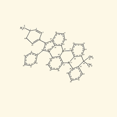 CC1C=CC(c2c(-c3ccccc3)n3c4c(cccc24)B2c4cccc5c4N(c4ccccc4C5(C)C)c4cccc-3c42)=CC1